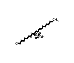 CCCCCCCCCCCCCCCCCCCCCl.O=P(O)(O)O